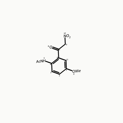 COc1ccc(NC(C)=O)c(C(=O)C[N+](=O)[O-])c1